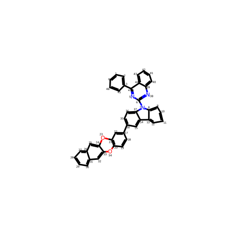 c1ccc(-c2nc(-n3c4ccccc4c4cc(-c5ccc6c(c5)Oc5cc7ccccc7cc5O6)ccc43)nc3ccccc23)cc1